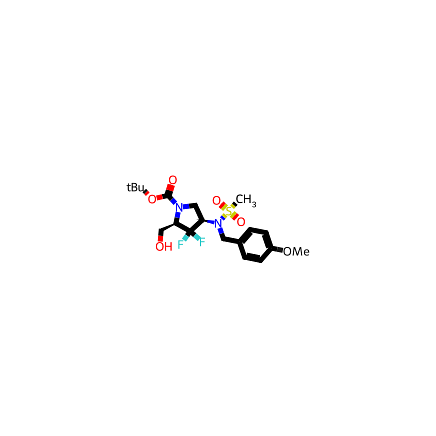 COc1ccc(CN([C@@H]2CN(C(=O)OC(C)(C)C)[C@H](CO)C2(F)F)S(C)(=O)=O)cc1